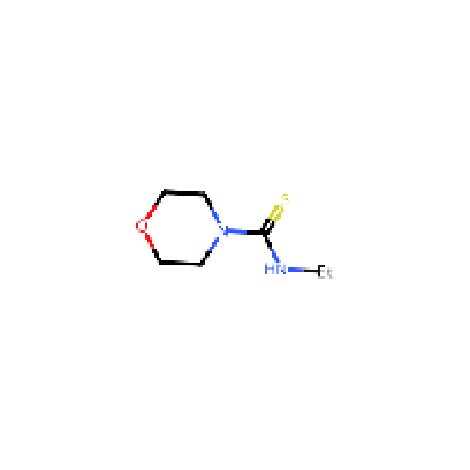 CCNC(=S)N1CCOCC1